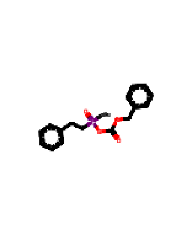 CCCCP(=O)(CCc1ccccc1)OC(=O)OCc1ccccc1